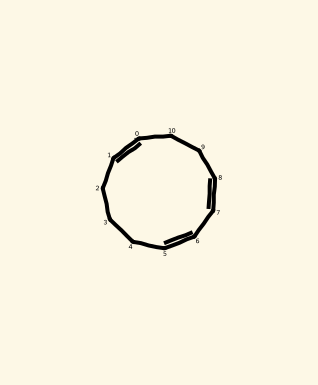 [C]1=CCCCC=CC=CCC1